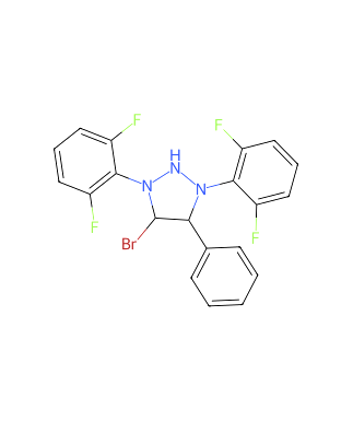 Fc1cccc(F)c1N1NN(c2c(F)cccc2F)C(c2ccccc2)C1Br